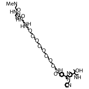 CNCCC(=O)Nc1cn(C)c(C(=O)NCCNNCCOCCOCCOCCOCCOCCOCCOCCOCCNC(=O)c2ccc(-c3cn(Cc4ccccn4)c4cc(/C(C(C)=N)=C(\C)O)cnc34)cc2)n1